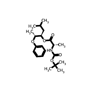 CC(C)C[C@@H](OC(=O)[C@H](C)NC(=O)OC(C)(C)C)[C@@H](C)Oc1ccccc1